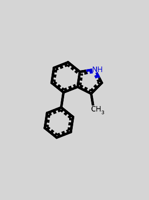 Cc1c[nH]c2cccc(-c3ccccc3)c12